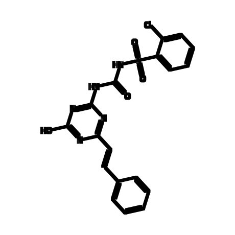 O=C(Nc1nc(O)nc(C=Cc2ccccc2)n1)NS(=O)(=O)c1ccccc1Cl